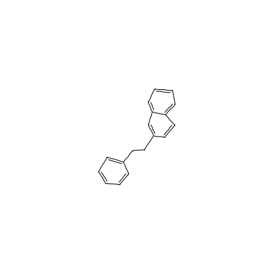 c1ccc(CCc2ccc3ccccc3c2)cc1